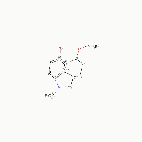 CCOC(=O)OC1CCC2CN(C(=O)OCC)c3ccc(Br)c1c32